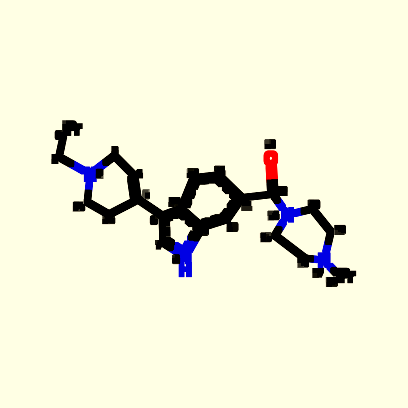 CC(C)CN1CC=C(c2c[nH]c3cc(C(=O)N4CCN(C(C)C)CC4)ccc23)CC1